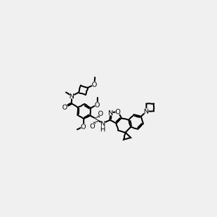 COc1cc(C(=O)N(C)C2CC(OC)C2)cc(OC)c1S(=O)(=O)Nc1noc2c1CC1(CC1)c1ccc(N3CCC3)cc1-2